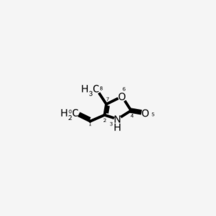 C=Cc1[nH]c(=O)oc1C